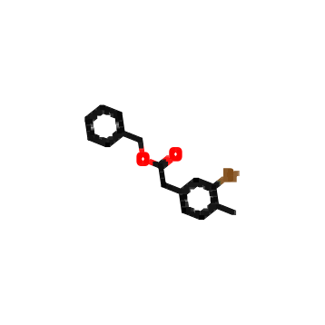 Cc1ccc(CC(=O)OCc2ccccc2)cc1Br